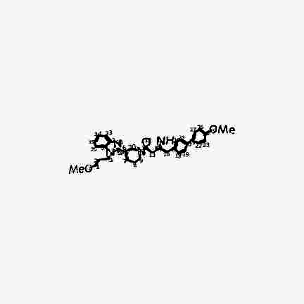 COCCCn1c([C@@H]2CCCN(C(=O)C[C@H](N)Cc3ccc(-c4ccc(OC)cc4)cc3)C2)nc2ccccc21